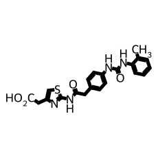 Cc1ccccc1NC(=O)Nc1ccc(CC(=O)Nc2nc(CC(=O)O)cs2)cc1